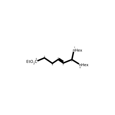 CCCCCCC(C=CCCC(=O)OCC)CCCCCC